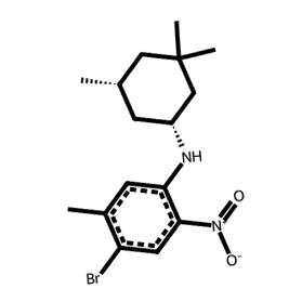 Cc1cc(N[C@@H]2C[C@H](C)CC(C)(C)C2)c([N+](=O)[O-])cc1Br